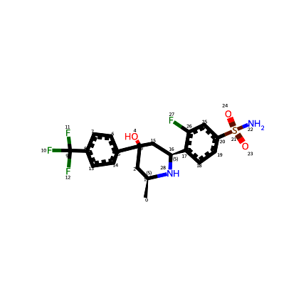 C[C@H]1CC(O)(c2ccc(C(F)(F)F)cc2)C[C@@H](c2ccc(S(N)(=O)=O)cc2F)N1